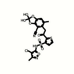 Cc1cc2c(c(C#N)c1CC(=O)c1sccc1S(=O)(=O)Nc1onc(C)c1Cl)OC(O)(O)O2